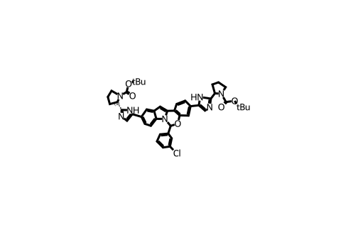 CC(C)(C)OC(=O)N1CCCC1c1ncc(-c2ccc3c(c2)OC(c2cccc(Cl)c2)n2c-3cc3cc(-c4cnc([C@@H]5CCCN5C(=O)OC(C)(C)C)[nH]4)ccc32)[nH]1